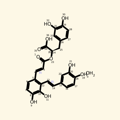 O.O=C(/C=C/c1ccc(O)c(O)c1/C=C/c1ccc(O)c(O)c1)O[C@H](Cc1ccc(O)c(O)c1)C(=O)O